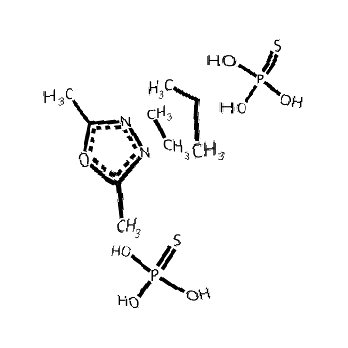 CC.CCC.Cc1nnc(C)o1.OP(O)(O)=S.OP(O)(O)=S